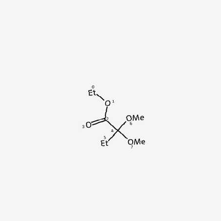 CCOC(=O)C(CC)(OC)OC